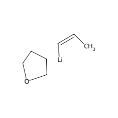 C1CCOC1.[Li]/[CH]=C\C